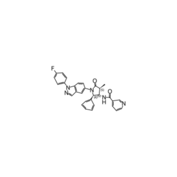 C[C@@H]1C(=O)N(c2ccc3c(cnn3-c3ccc(F)cc3)c2)[C@H](c2ccccc2)[C@H]1NC(=O)c1cccnc1